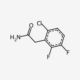 NC(=O)Cc1c(Cl)ccc(F)c1F